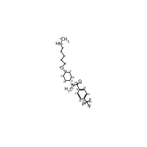 CNCCCCCO[C@H]1CC[C@H](N(C)C(=O)c2ccc(C(F)(F)F)cc2)CC1